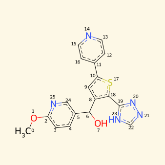 COc1ccc(C(O)c2cc(-c3ccncc3)sc2-c2nnc[nH]2)cn1